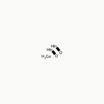 [GaH3].[O]=[InH].[O]=[InH]